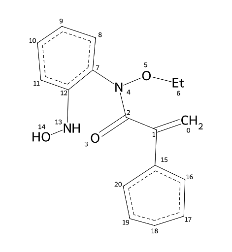 C=C(C(=O)N(OCC)c1ccccc1NO)c1ccccc1